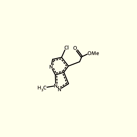 COC(=O)Cc1c(Cl)cnc2c1cnn2C